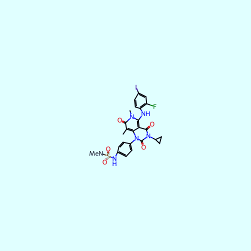 CNS(=O)(=O)Nc1ccc(-n2c(=O)n(C3CC3)c(=O)c3c(Nc4ccc(I)cc4F)n(C)c(=O)c(C)c32)cc1